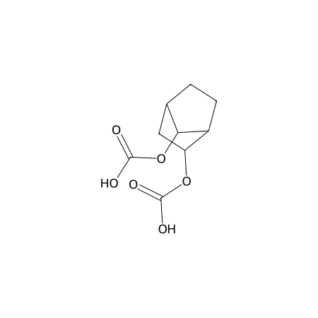 O=C(O)OC1CC2CCC1C2OC(=O)O